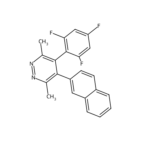 Cc1nnc(C)c(-c2c(F)cc(F)cc2F)c1-c1ccc2ccccc2c1